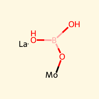 OB(O)[O][Mo].[La]